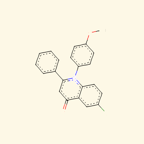 COc1ccc(-n2c(-c3ccccc3)cc(=O)c3cc(Cl)ccc32)cc1